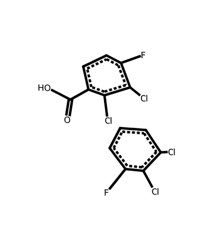 Fc1cccc(Cl)c1Cl.O=C(O)c1ccc(F)c(Cl)c1Cl